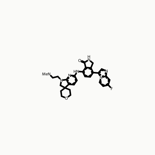 CNCCN1CC2(CCOCC2)c2ccc(Nc3ccc(-c4cnc5cc(F)ccn45)c4c3C(=O)NC4)nc21